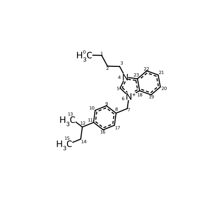 CCCCn1c[n+](Cc2ccc(C(C)CC)cc2)c2ccccc21